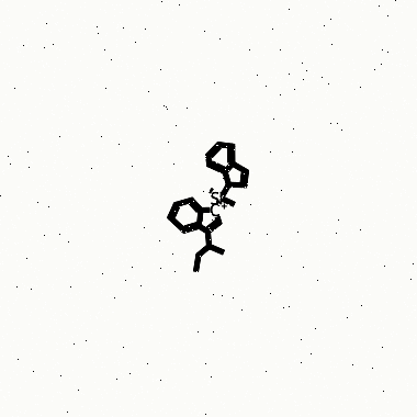 CCC(C)C1=C[C+]([Si](C)(C)C2C=Cc3ccccc32)c2ccccc21